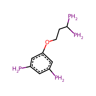 Pc1cc(P)cc(OCCC(P)P)c1